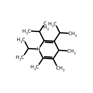 CC1=C(C)N(C(C)C)C(C(C)C)=C(C(C)C)C1C